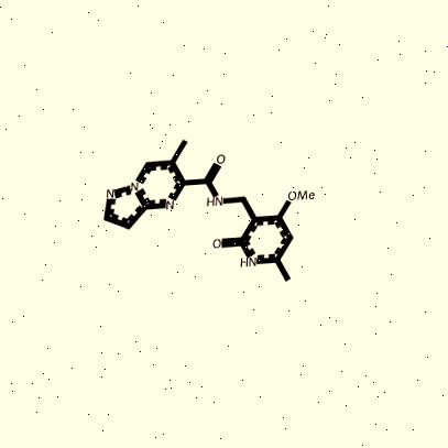 COc1cc(C)[nH]c(=O)c1CNC(=O)c1nc2ccnn2cc1C